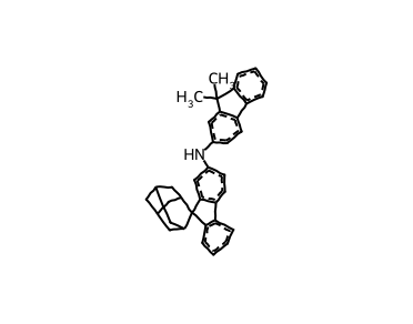 CC1(C)c2ccccc2-c2ccc(Nc3ccc4c(c3)C3(c5ccccc5-4)C4CC5CC(C4)CC3C5)cc21